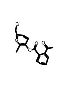 CC(=O)c1ccccc1C(=O)Oc1ccc(CCl)nc1C